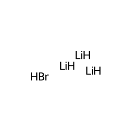 Br.[LiH].[LiH].[LiH]